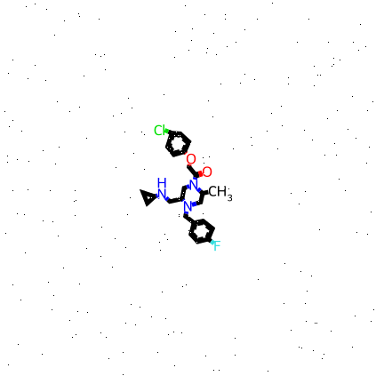 CC1CN(Cc2ccc(F)cc2)C(CNC2CC2)CN1C(=O)COc1ccc(Cl)cc1